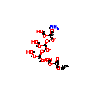 N.O=C(O)OO.O=C([O-])OO.O=C([O-])OO.O=C([O-])OO.[Al+3]